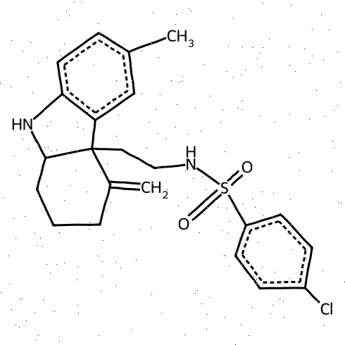 C=C1CCCC2Nc3ccc(C)cc3C12CCNS(=O)(=O)c1ccc(Cl)cc1